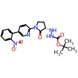 CC(C)(C)OC(=O)NN[C@H]1CCN(c2ccc(-c3ccccc3[N+](=O)[O-])cn2)C1=O